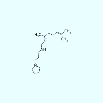 CC(C)=CCC/C(C)=C/CNCCCN1CCCC1